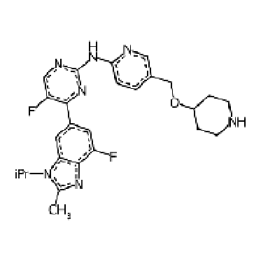 Cc1nc2c(F)cc(-c3nc(Nc4ccc(COC5CCNCC5)cn4)ncc3F)cc2n1C(C)C